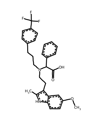 COc1ccc2[nH]c(C)c(CCN(CCCc3ccc(C(F)(F)F)cc3)C(C(=O)O)c3ccccc3)c2c1